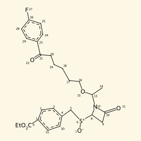 CCOC(=O)c1ccc(C[S+]([O-])C2CC(=O)N2C(C)OCCCCCC(=O)c2ccc(F)cc2)cc1